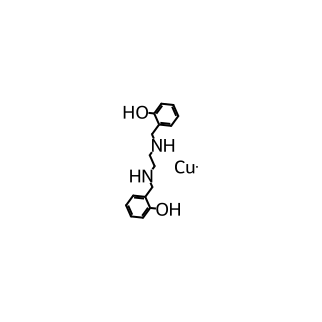 Oc1ccccc1CNCCNCc1ccccc1O.[Cu]